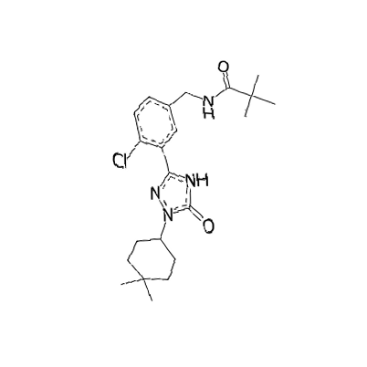 CC1(C)CCC(n2nc(-c3cc(CNC(=O)C(C)(C)C)ccc3Cl)[nH]c2=O)CC1